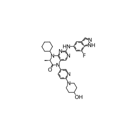 C[C@@H]1C(=O)N(c2ccc(N3CCC(O)CC3)nc2)c2cnc(Nc3cc(F)c4[nH]ncc4c3)nc2N1C1CCCCC1